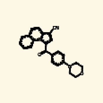 N#Cc1cc(C(=O)c2ccc(N3CCOCC3)cc2)n2c1ccc1ccccc12